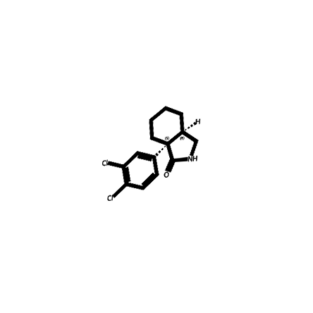 O=C1NC[C@@H]2CCCC[C@]12c1ccc(Cl)c(Cl)c1